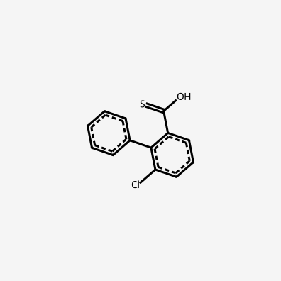 OC(=S)c1cccc(Cl)c1-c1ccccc1